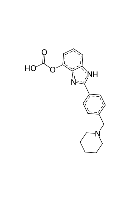 O=C(O)Oc1cccc2[nH]c(-c3ccc(CN4CCCCC4)cc3)nc12